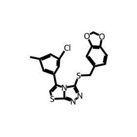 Cc1cc(Cl)cc(-c2csc3nnc(SCc4ccc5c(c4)OCO5)n23)c1